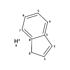 [CH]1C=Cc2ccccc21.[H+]